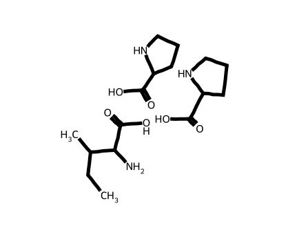 CCC(C)C(N)C(=O)O.O=C(O)C1CCCN1.O=C(O)C1CCCN1